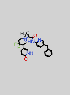 CC(C(=O)Nc1ccc(Cc2ccccc2)cn1)N1CCC(F)(F)[C@@H](c2ccc(=O)[nH]c2)C1